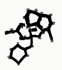 CNC(=N)NC(C=O)(CC1CCCCC1)Cn1c(=O)ccc2ccccc21